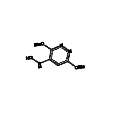 COc1cc(BO)c(OC)nn1